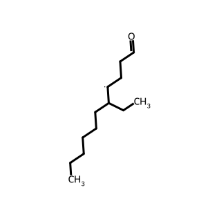 CCCCCCC([CH]CCC=O)CC